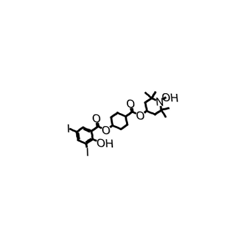 CC1(C)CC(OC(=O)C2CCC(OC(=O)c3cc(I)cc(I)c3O)CC2)CC(C)(C)N1O